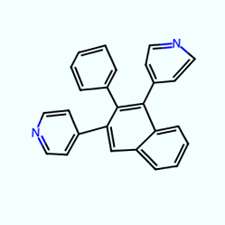 c1ccc(-c2c(-c3ccncc3)cc3ccccc3c2-c2ccncc2)cc1